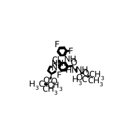 CC(C)(C)OC(=O)NNC(=O)c1cc(F)c([N+]2(N)CC[C@H](C(=O)OC(C)(C)C)C2)c(Cl)c1Nc1ccc(F)cc1F